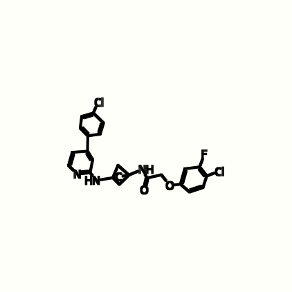 O=C(COc1ccc(Cl)c(F)c1)NC12CC(Nc3cc(-c4ccc(Cl)cc4)ccn3)(C1)C2